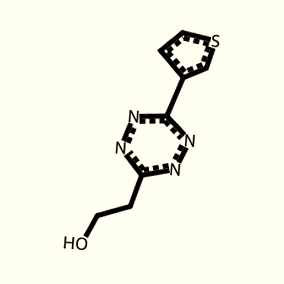 OCCc1nnc(-c2ccsc2)nn1